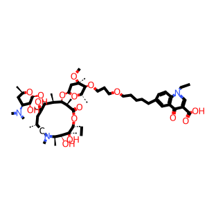 CC[C@H]1OC(=O)[C@H](C)[C@@H](O[C@H]2C[C@@](C)(OC)[C@@H](OCCCOCCCCCc3ccc4c(c3)c(=O)c(C(=O)O)cn4CC)[C@H](C)O2)[C@H](C)[C@@H](O[C@@H]2O[C@H](C)C[C@H](N(C)C)[C@H]2O)[C@](C)(O)C[C@@H](C)CN(C)[C@H](C)[C@@H](O)[C@]1(C)O